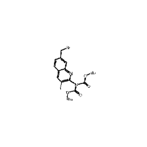 CC(C)(C)OC(=O)N(C(=O)OC(C)(C)C)c1nc2cc(CBr)ccc2cc1F